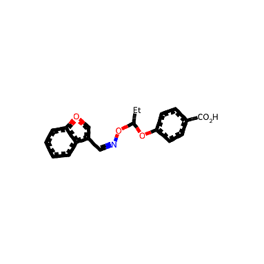 CCC(O/N=C\c1coc2ccccc12)Oc1ccc(C(=O)O)cc1